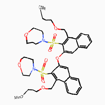 COCCOCc1c(S(=O)(=O)N2CCOCC2)c(Oc2cc3ccccc3c(COCCOC)c2S(=O)(=O)N2CCOCC2)cc2ccccc12